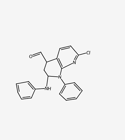 O=CC1CC(Nc2ccccc2)N(c2ccccc2)c2nc(Cl)ccc21